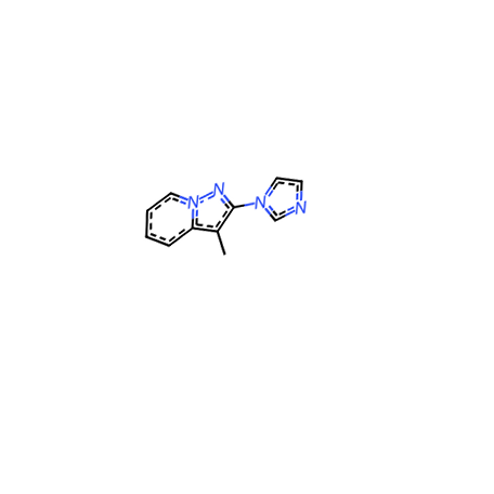 Cc1c(-n2ccnc2)nn2ccccc12